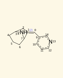 C(=C1\CC2CCCC1N2)/c1cccnc1